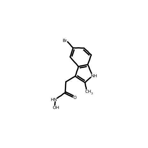 Cc1[nH]c2ccc(Br)cc2c1CC(=O)NO